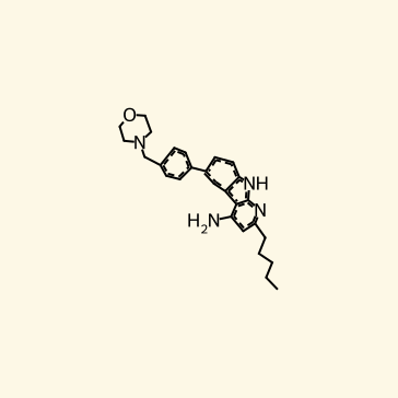 CCCCCc1cc(N)c2c(n1)[nH]c1ccc(-c3ccc(CN4CCOCC4)cc3)cc12